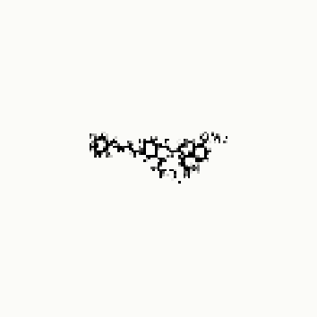 COc1ccc2nccc([C@H](O)CC[C@@H]3CCN(CCCSc4ccncc4)C[C@H]3CCC(=O)O)c2c1